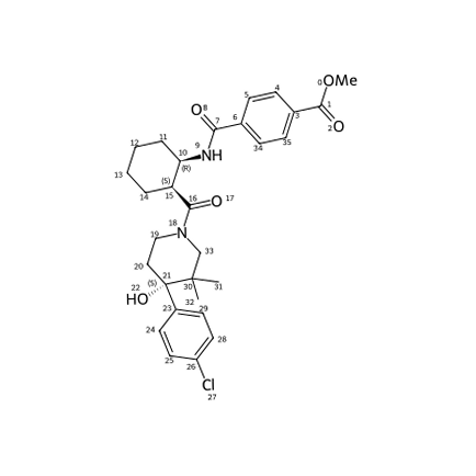 COC(=O)c1ccc(C(=O)N[C@@H]2CCCC[C@@H]2C(=O)N2CC[C@](O)(c3ccc(Cl)cc3)C(C)(C)C2)cc1